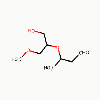 O=CCC(OC(CO)COS(=O)(=O)O)C(=O)O